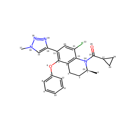 C[C@H]1CCc2c(Oc3ccccc3)c(-c3cn(C)nn3)cc(F)c2N1C(=O)C1CC1